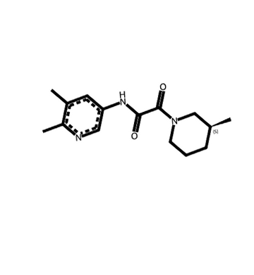 Cc1cc(NC(=O)C(=O)N2CCC[C@H](C)C2)cnc1C